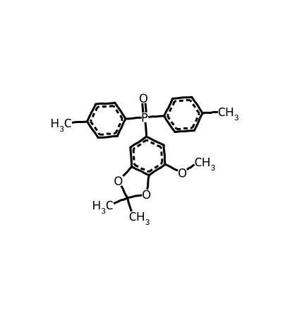 COc1cc(P(=O)(c2ccc(C)cc2)c2ccc(C)cc2)cc2c1OC(C)(C)O2